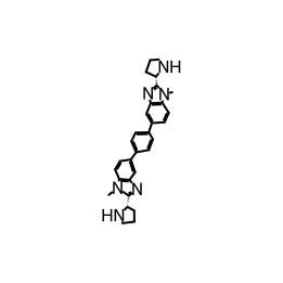 Cn1c([C@@H]2CCCN2)nc2cc(-c3ccc(-c4ccc5c(c4)nc([C@@H]4CCCN4)n5C)cc3)ccc21